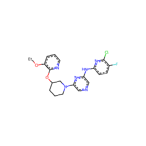 CCOc1cccnc1OC1CCCN(c2cncc(Nc3ccc(F)c(Cl)n3)n2)C1